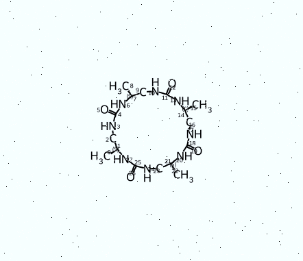 C[C@H]1CNC(=O)N[C@@H](C)CNC(=O)N[C@@H](C)CNC(=O)N[C@@H](C)CNC(=O)N1